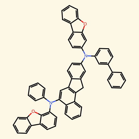 c1ccc(-c2cccc(N(c3ccc4c(c3)Cc3c-4cc(N(c4ccccc4)c4cccc5c4oc4ccccc45)c4ccccc34)c3ccc4c(c3)oc3ccccc34)c2)cc1